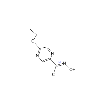 CCOc1cnc(/C(Cl)=N/O)cn1